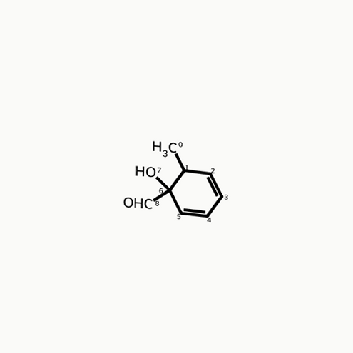 CC1C=CC=CC1(O)C=O